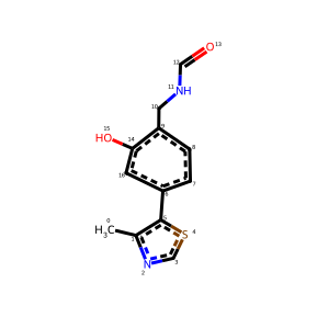 Cc1ncsc1-c1ccc(CNC=O)c(O)c1